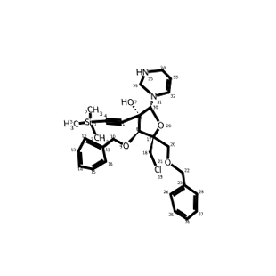 C[Si](C)(C)C#C[C@]1(O)[C@H](OCc2ccccc2)[C@@](CCl)(COCc2ccccc2)O[C@H]1N1C=CCNC1